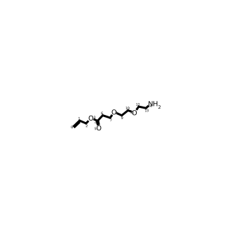 C=CCOC(=O)CCOCCOCCN